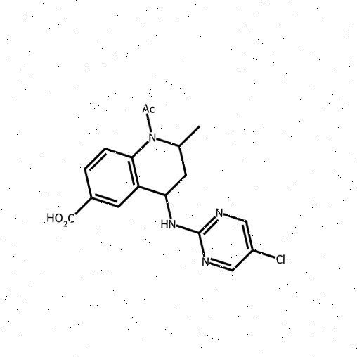 CC(=O)N1c2ccc(C(=O)O)cc2C(Nc2ncc(Cl)cn2)CC1C